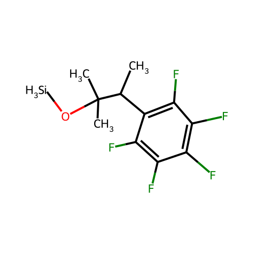 CC(c1c(F)c(F)c(F)c(F)c1F)C(C)(C)O[SiH3]